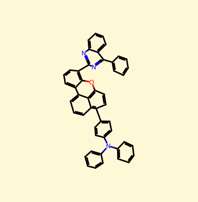 c1ccc(-c2nc(-c3cccc4c3Oc3ccc(-c5ccc(N(c6ccccc6)c6ccccc6)cc5)c5cccc-4c35)nc3ccccc23)cc1